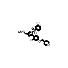 CNCc1cc(-c2ccc(OCC3CCOCC3)cc2F)n(S(=O)(=O)c2cccc(C(F)(F)F)c2)c1